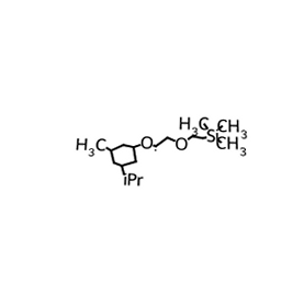 CC1CC(O[CH]COCC[Si](C)(C)C)CC(C(C)C)C1